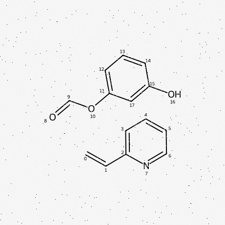 C=Cc1ccccn1.O=COc1cccc(O)c1